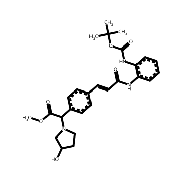 COC(=O)C(c1ccc(C=CC(=O)Nc2ccccc2NC(=O)OC(C)(C)C)cc1)N1CCC(O)C1